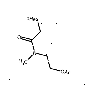 CCCCCCCC(=O)N(C)CCOC(C)=O